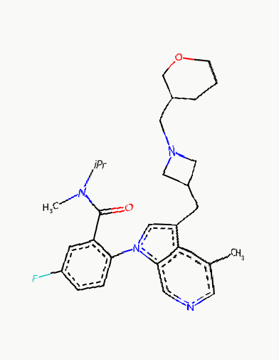 Cc1cncc2c1c(CC1CN(CC3CCCOC3)C1)cn2-c1ccc(F)cc1C(=O)N(C)C(C)C